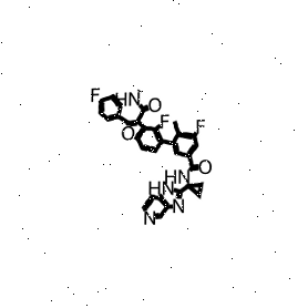 CNC(=O)c1c(-c2ccc(F)cc2)oc2ccc(-c3cc(C(=O)NC4(c5nc6cnccc6[nH]5)CC4)cc(F)c3C)c(F)c12